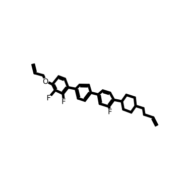 C=CCCC1CCC(c2ccc(-c3ccc(-c4ccc(OCC=C)c(F)c4F)cc3)cc2F)CC1